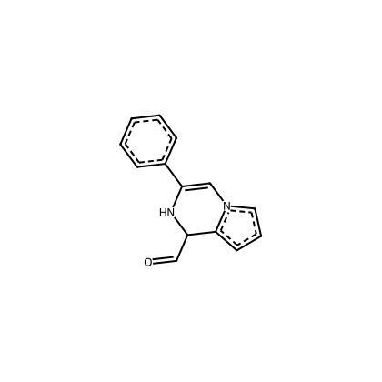 O=CC1NC(c2ccccc2)=Cn2cccc21